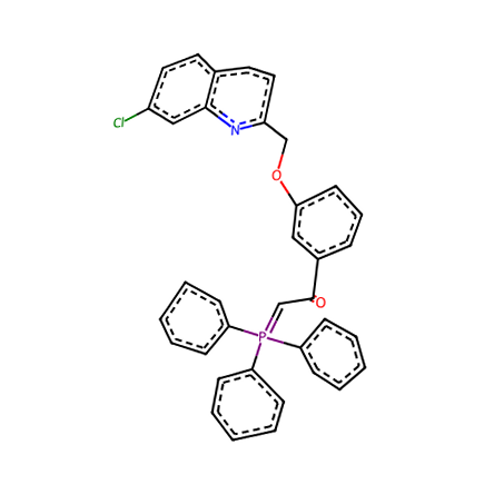 O=C(C=P(c1ccccc1)(c1ccccc1)c1ccccc1)c1cccc(OCc2ccc3ccc(Cl)cc3n2)c1